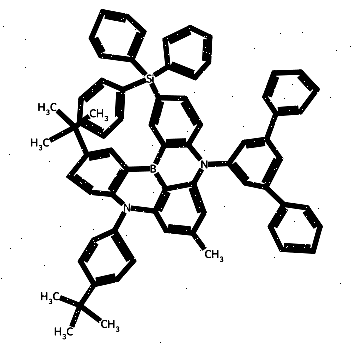 Cc1cc2c3c(c1)N(c1cc(-c4ccccc4)cc(-c4ccccc4)c1)c1ccc([Si](c4ccccc4)(c4ccccc4)c4ccccc4)cc1B3c1cc(C(C)(C)C)ccc1N2c1ccc(C(C)(C)C)cc1